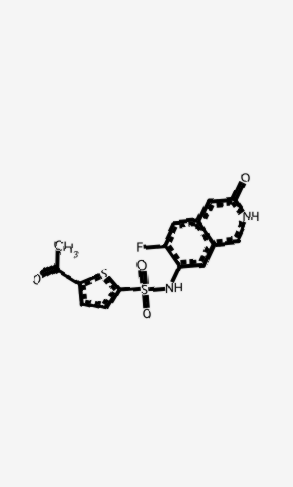 CC(=O)c1ccc(S(=O)(=O)Nc2cc3c[nH]c(=O)cc3cc2F)s1